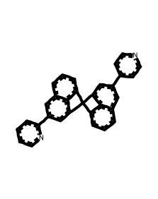 c1ccc(-c2cc3c4c(cccc4c2)C32c3cccc4cc(-c5ccncc5)cc2c34)nc1